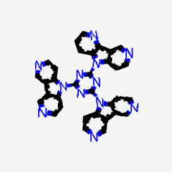 c1cnc2c3cnccc3n(-c3nc(-n4c5ccncc5c5cnccc54)nc(-n4c5ccncc5c5cnccc54)n3)c2c1